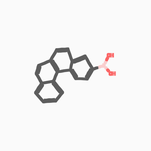 OB(O)c1ccc2c(ccc3ccc4ccccc4c32)c1